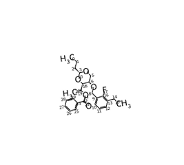 CCC[C@H]1OC[C@@H](OCc2cccc(CC)c2F)[C@@H](C(C)OC(=O)c2ccccc2)O1